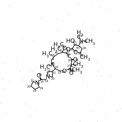 CO[C@]1(C)C[C@@H](C)CN(C)C(C2CN(CC(=O)N3CCCC3)C2)COC(=O)C(C)(C)C(=O)C[C@H]1O[C@@H]1O[C@H](C)C[C@H](N(C)C)[C@H]1O